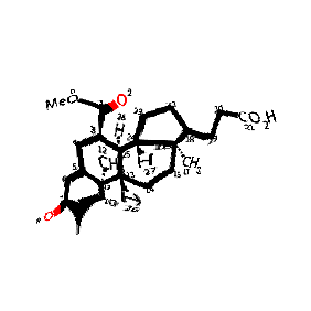 COC(=O)[C@@H]1CC2=CC(=O)C=C[C@]2(C)[C@H]2CC[C@]3(C)C(CCC(=O)O)CC[C@H]3[C@H]12